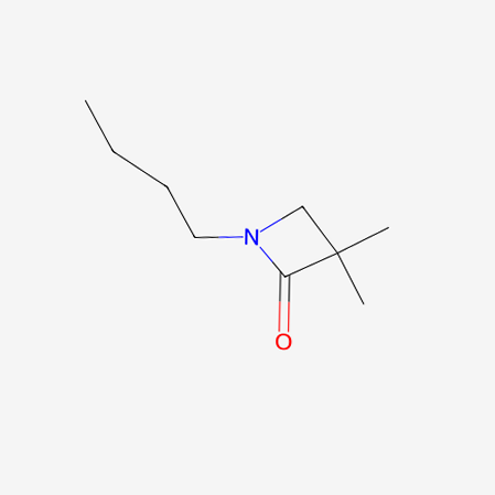 CCCCN1CC(C)(C)C1=O